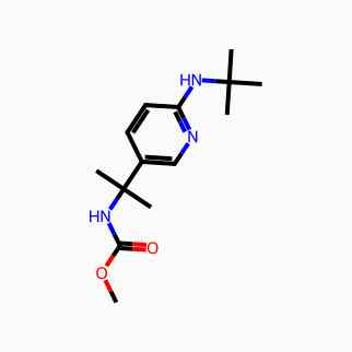 COC(=O)NC(C)(C)c1ccc(NC(C)(C)C)nc1